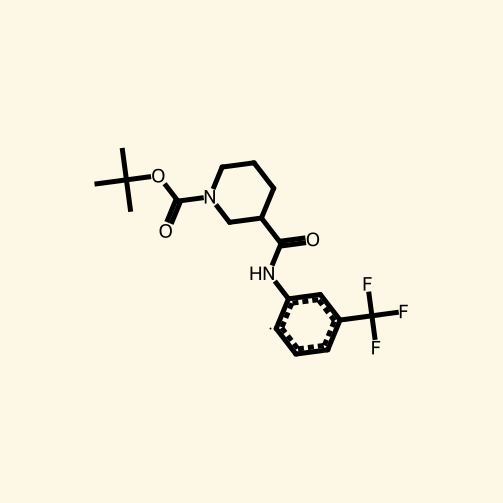 CC(C)(C)OC(=O)N1CCCC(C(=O)Nc2[c]ccc(C(F)(F)F)c2)C1